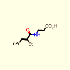 CCC/C=C(\CC)C(=O)NCCC(=O)O